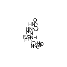 Cc1ncc(CNc2nc(Nc3cccc4c3NC(=O)C4)ncc2C(F)(F)F)cc1N(C)S(C)(=O)=O